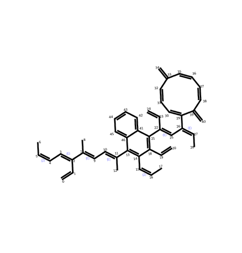 C=CC(=C\C=C/C)/C(C)=C/C=C(\C)c1c(/C=C\C)c(C=C)c(/C(C=C)=C/C(=C\C)c2cccc(=C)ccccc2=C)c2ccccc12